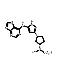 CC(C)N(C(=O)O)[C@@H]1CC[C@H](c2cc(Nc3ncnc4ncsc34)[nH]n2)C1